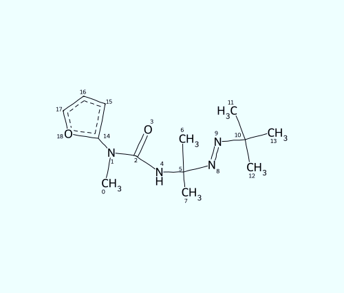 CN(C(=O)NC(C)(C)N=NC(C)(C)C)c1ccco1